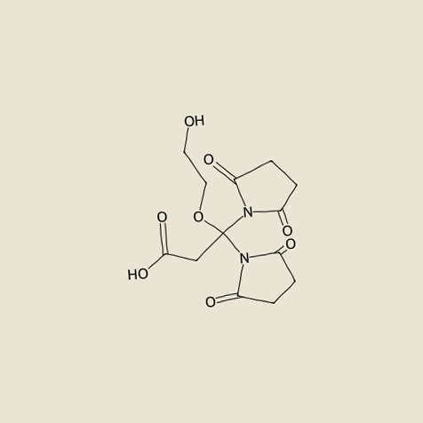 O=C(O)CC(OCCO)(N1C(=O)CCC1=O)N1C(=O)CCC1=O